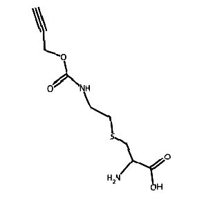 C#CCOC(=O)NCCSCC(N)C(=O)O